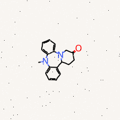 CN1c2ccccc2C2CCC(=O)CN2c2ccccc21